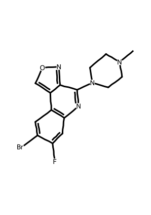 CN1CCN(c2nc3cc(F)c(Br)cc3c3conc23)CC1